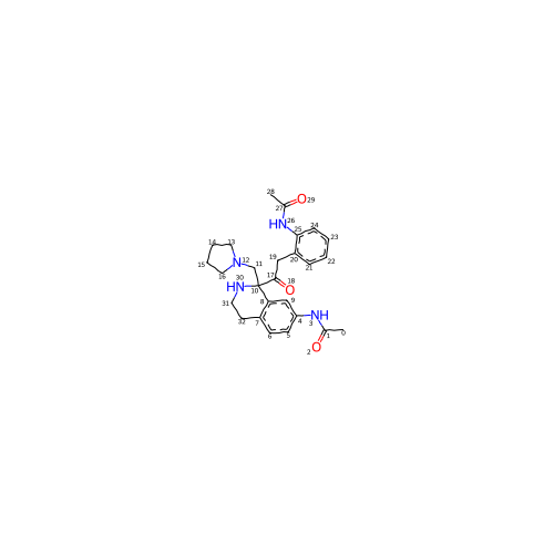 CC(=O)Nc1ccc2c(c1)C(CN1CCCC1)(C(=O)Cc1ccccc1NC(C)=O)NCC2